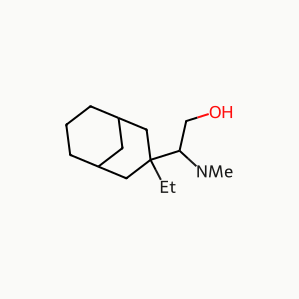 CCC1(C(CO)NC)CC2CCCC(C2)C1